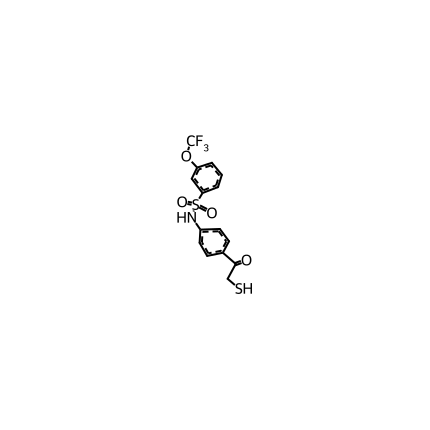 O=C(CS)c1ccc(NS(=O)(=O)c2cccc(OC(F)(F)F)c2)cc1